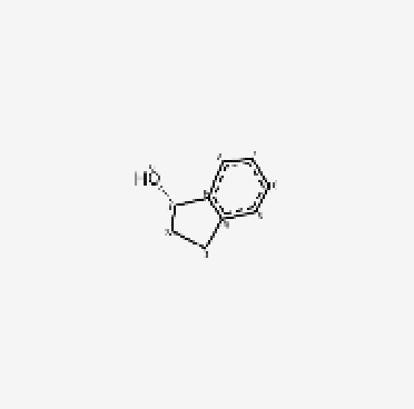 O[C@H]1[C]Cc2ccccc21